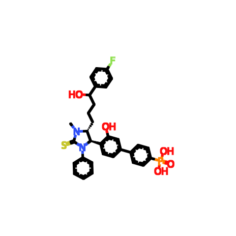 CN1C(=S)N(c2ccccc2)[C@H](c2ccc(-c3ccc(P(=O)(O)O)cc3)cc2O)[C@H]1CCCC(O)c1ccc(F)cc1